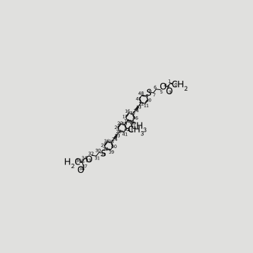 C=CC(=O)OCCCSc1ccc(C#Cc2ccc(-c3ccc(C#Cc4ccc(SCCCOCC(=C)C=O)cc4)cc3C)c(C)c2)cc1